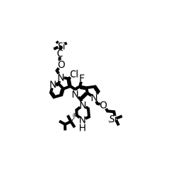 CC(C)C(C)(C)[C@@H]1CN(c2nc(-c3c(Cl)n(COCC[Si](C)(C)C)c4ncccc34)c(F)c3ccn(COCC[Si](C)(C)C)c23)CCN1